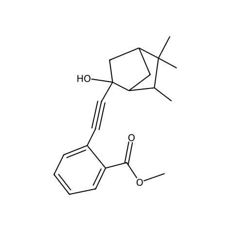 COC(=O)c1ccccc1C#CC1(O)CC2CC1C(C)C2(C)C